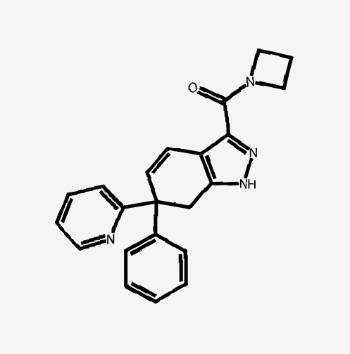 O=C(c1n[nH]c2c1C=CC(c1ccccc1)(c1ccccn1)C2)N1CCC1